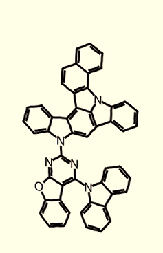 c1ccc2c(c1)ccc1c3c4c5ccccc5n(-c5nc(-n6c7ccccc7c7ccccc76)c6c(n5)oc5ccccc56)c4cc4c5ccccc5n(c21)c43